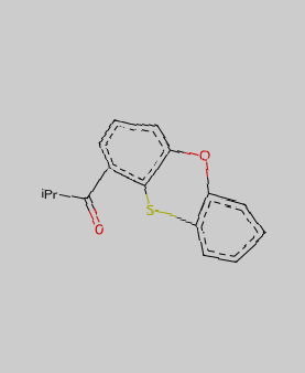 CC(C)C(=O)c1cccc2c1Sc1ccccc1O2